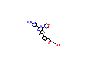 Cc1c(-c2cccc(CC(=O)NCCO)c2)sc2c(N3CCOCC3)nc(-c3cnc(N)nc3)nc12